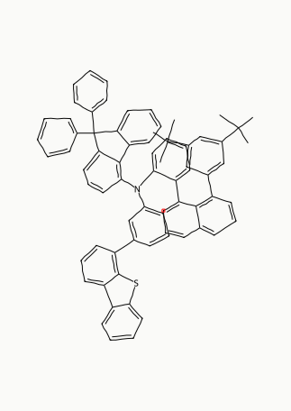 CC(C)(C)c1cc(-c2cccc3cccc(-c4ccccc4N(c4cccc(-c5cccc6c5sc5ccccc56)c4)c4cccc5c4-c4ccccc4C5(c4ccccc4)c4ccccc4)c23)cc(C(C)(C)C)c1